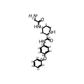 NCC(=O)N[C@@H]1CCN[C@@H](C(=O)Nc2ccc(Oc3ccccc3)cc2)C1